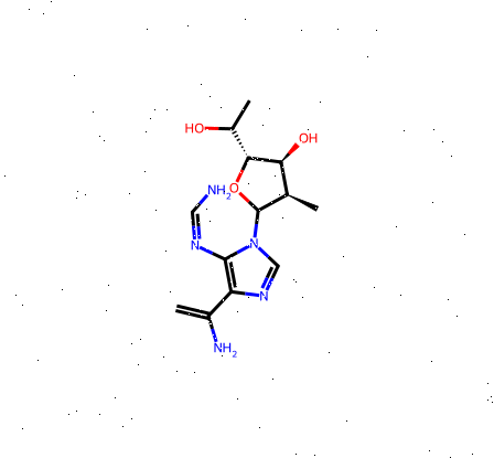 C=C(N)c1ncn(C2O[C@H](C(C)O)[C@@H](O)[C@H]2C)c1/N=C\N